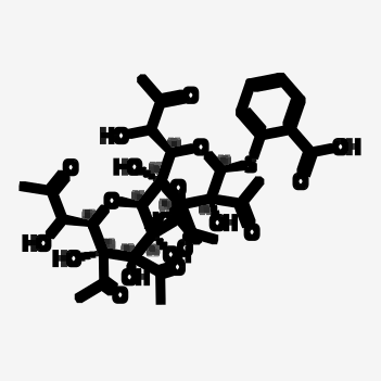 CC(=O)C(O)[C@H]1O[C@@H](Sc2ccccc2C(=O)O)[C@@](O)(C(C)=O)[C@](O)(C(C)=O)[C@@]1(O)[C@@H]1O[C@H](C(O)C(C)=O)[C@](O)(C(C)=O)[C@@](O)(C(C)=O)[C@]1(O)C(C)=O